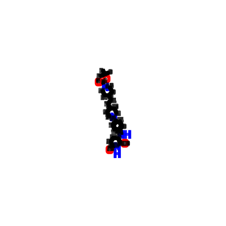 CC(C)(C)OC(=O)N1CCC(CCC2CCN(c3ccc(NC4CCC(=O)NC4=O)cc3)CC2)CC1